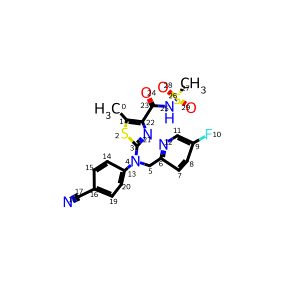 Cc1sc(N(Cc2ccc(F)cn2)c2ccc(C#N)cc2)nc1C(=O)NS(C)(=O)=O